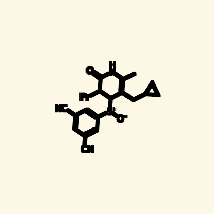 CC1=C(CC2CC2)C([S+]([O-])c2cc(C#N)cc(C#N)c2)C(C(C)C)C(=O)N1